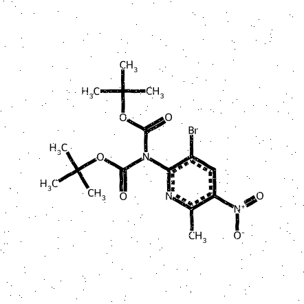 Cc1nc(N(C(=O)OC(C)(C)C)C(=O)OC(C)(C)C)c(Br)cc1[N+](=O)[O-]